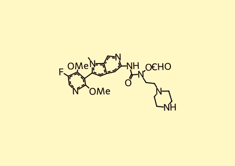 COc1ncc(F)c(OC)c1-c1cc2cc(NC(=O)N(CCN3CCNCC3)OC=O)ncc2n1C